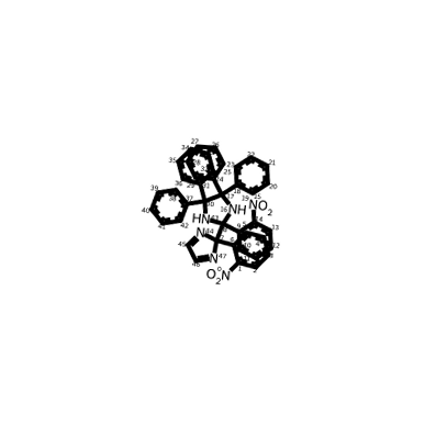 O=[N+]([O-])c1ccccc1C1(C2(c3ccccc3[N+](=O)[O-])NC(c3ccccc3)(c3ccccc3)C(c3ccccc3)(c3ccccc3)N2)N=CC=N1